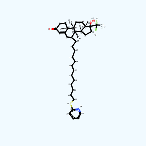 C[C@]12CCC(=O)C=C1CC(CCCCCCCCCCCCCSc1ccccn1)[C@@H]1[C@H]2CC[C@@]2(C)[C@H]1CCC2(O)C(F)(F)C(F)(F)F